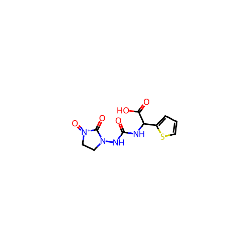 O=C(NC(C(=O)O)c1cccs1)NN1CC[N+](=O)C1=O